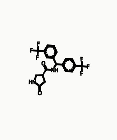 O=C1C[C@H](C(=O)NC(c2ccc(C(F)(F)F)cc2)c2cccc(C(F)(F)F)c2)CN1